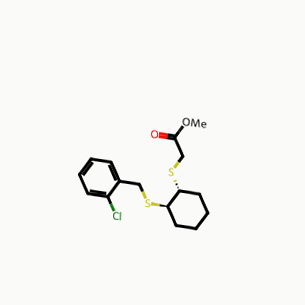 COC(=O)CS[C@@H]1CCCC[C@H]1SCc1ccccc1Cl